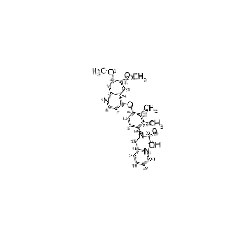 COc1cc2nccc(Oc3ccc(N(Cc4ccccn4)C(=O)O)c(C)c3C)c2cc1OC